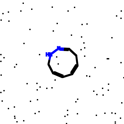 C1=C\C/C=N\NC\C=C/1